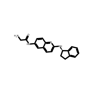 NCC(=O)Nc1ccc2nc(N[C@@H]3CCc4ccccc43)ccc2c1